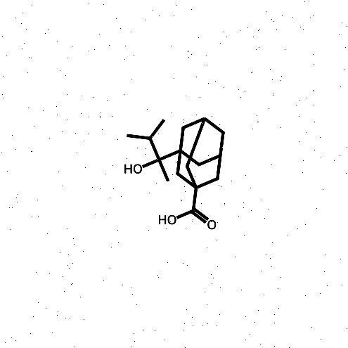 CC(C)C(C)(O)C12CC3CC(CC(C(=O)O)(C3)C1)C2